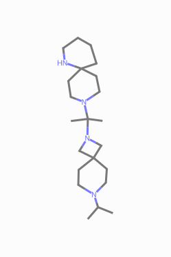 CC(C)N1CCC2(CC1)CN(C(C)(C)N1CCC3(CCCCN3)CC1)C2